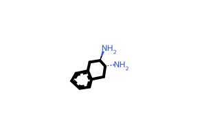 N[C@@H]1Cc2ccccc2C[C@H]1N